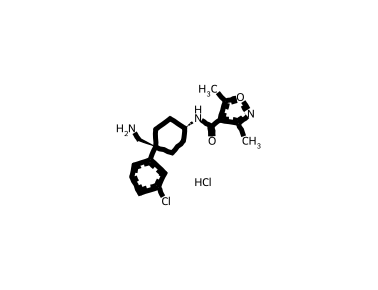 Cc1noc(C)c1C(=O)N[C@H]1CC[C@@](CN)(c2cccc(Cl)c2)CC1.Cl